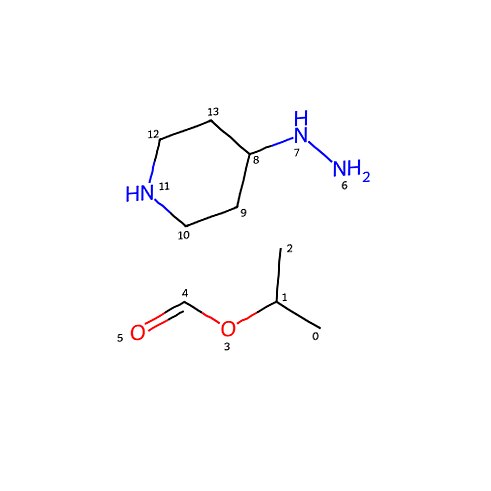 CC(C)OC=O.NNC1CCNCC1